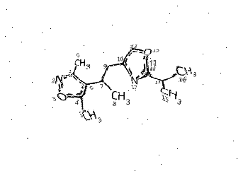 Cc1noc(C)c1C(C)Cc1coc(C(C)C)n1